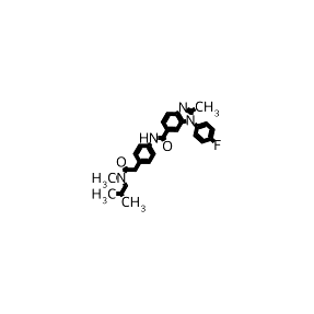 Cc1nc2ccc(C(=O)Nc3ccc(CC(=O)N(C)CC(C)C)cc3)cc2n1-c1ccc(F)cc1